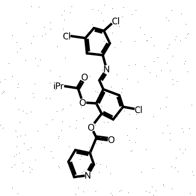 CC(C)C(=O)Oc1c(C=Nc2cc(Cl)cc(Cl)c2)cc(Cl)cc1OC(=O)c1cccnc1